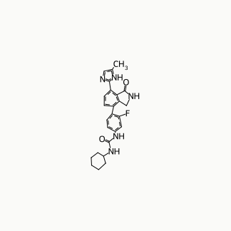 Cc1cnc(-c2ccc(-c3ccc(NC(=O)NC4CCCCC4)cc3F)c3c2C(=O)NC3)[nH]1